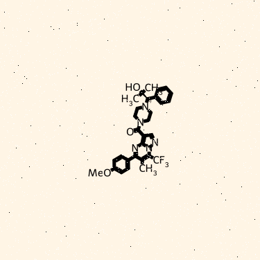 COc1ccc(-c2nc3c(C(=O)N4CCN([C@H](c5ccccc5)C(C)(C)O)CC4)cnn3c(C(F)(F)F)c2C)cc1